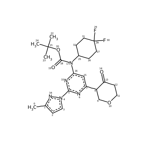 Cc1ccn(-c2nc(C3COCCC3=O)cc(N(C(=O)OC(C)(C)C)C3CCC(F)(F)CC3)n2)n1